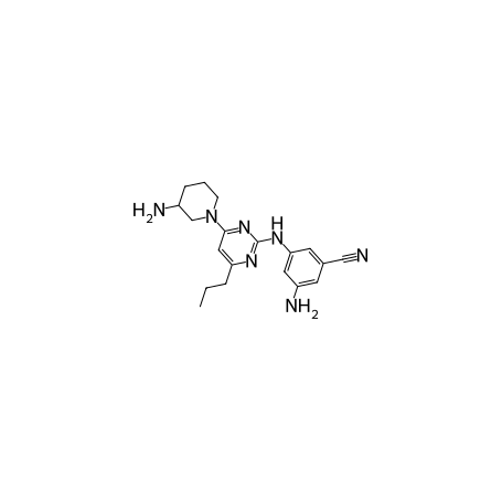 CCCc1cc(N2CCCC(N)C2)nc(Nc2cc(N)cc(C#N)c2)n1